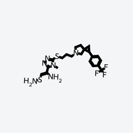 Cn1c(SCCCN2CCC3(CC3c3ccc(C(F)(F)F)cc3)C2)nnc1/C(N)=C/SN